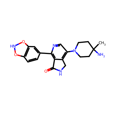 CC1(N)CCN(c2cnc(-c3ccc4c(c3)ONO4)c3c2CNC3=O)CC1